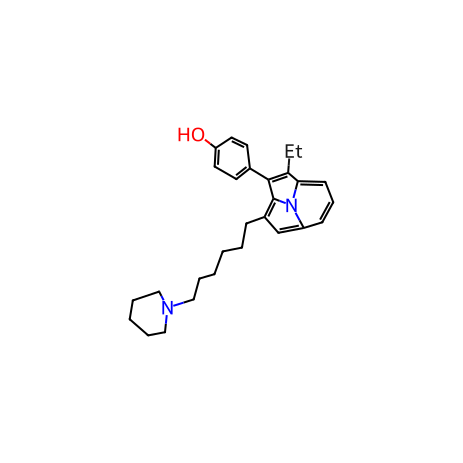 CCc1c(-c2ccc(O)cc2)c2c(CCCCCCN3CCCCC3)cc3cccc1n32